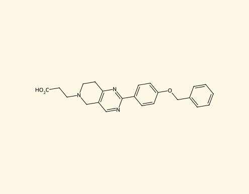 O=C(O)CCN1CCc2nc(-c3ccc(OCc4ccccc4)cc3)ncc2C1